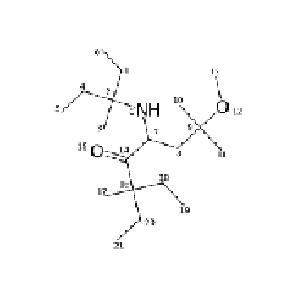 CCC(C)(CC)NC(CC(C)(C)OC)C(=O)C(C)(CC)CC